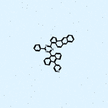 c1ccc(-c2nc(-c3c4ccccc4c(-c4ccncc4)c4ccccc34)nc(-c3cccc4c3ccc3cc5ccccc5cc34)n2)cc1